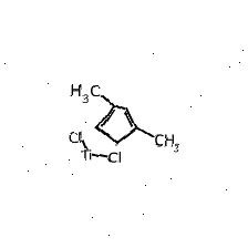 CC1=CC(C)=C[CH]1.[Cl][Ti][Cl]